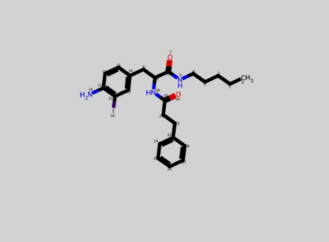 CCCCCNC(=O)C(Cc1ccc(N)c(I)c1)NC(=O)CCc1ccccc1